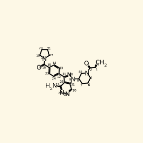 C=CC(=O)N1CCC[C@@H](n2nc(-c3ccc(C(=O)N4CCCC4)cc3)c3c(N)nncc32)C1